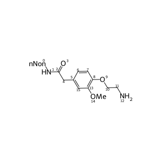 CCCCCCCCCNC(=O)Cc1ccc(OCCN)c(OC)c1